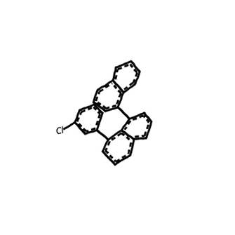 Clc1cccc(-c2cccc3cccc(-c4cccc5ccccc45)c23)c1